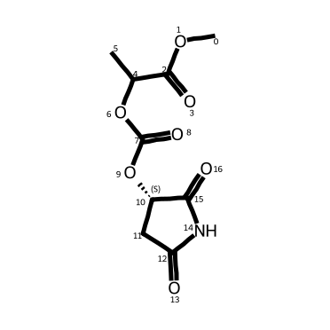 COC(=O)C(C)OC(=O)O[C@H]1CC(=O)NC1=O